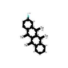 Fc1ccc2c(=[Te])c3c(=[Te])c4ccccc4c(=[Te])c=3c(=[Te])c2c1